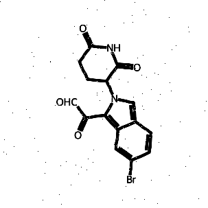 O=CC(=O)c1c2cc(Br)ccc2cn1C1CCC(=O)NC1=O